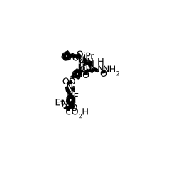 CCn1cc(C(=O)O)c(=O)c2cc(F)c(N3CCN(C(=O)OCc4ccc(NC(=O)C(CCCNC(N)=O)n5cc([C@@H](NC(=O)OCc6ccccc6)C(C)C)nn5)cc4)CC3)cc21